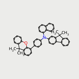 CC1(C)c2ccccc2-c2ccc(N(c3ccc(-c4cccc5c4Oc4ccccc4C5(C)C)cc3)c3cccc4ccccc34)cc21